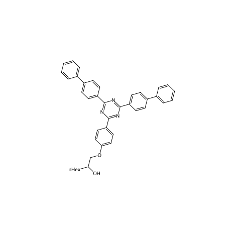 CCCCCCC(O)COc1ccc(-c2nc(-c3ccc(-c4ccccc4)cc3)nc(-c3ccc(-c4ccccc4)cc3)n2)cc1